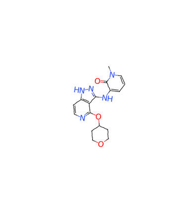 Cn1cccc(Nc2n[nH]c3ccnc(OC4CCOCC4)c23)c1=O